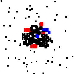 CC(C)(C)[C@@H](N(C(=O)C1(C(N)=O)CCCC1)[C@H](C(C)(C)C)C(C)(C)O)C(C)(C)O